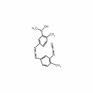 Cc1ccc(N=C=Nc2ccc(C)c(N(C)O)c2)cc1N=C=O